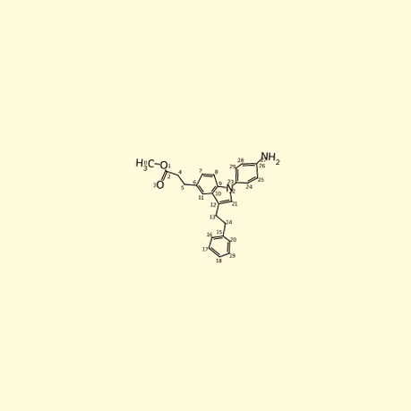 COC(=O)CCc1ccc2c(c1)c(CCc1ccccc1)cn2-c1ccc(N)cc1